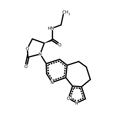 CCNC(=O)[C@@H]1COC(=O)N1c1cnc2c(c1)CCCc1cnoc1-2